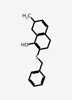 CC1C=CC2=C(C1)C(O)=C(SCc1ccccc1)CC2